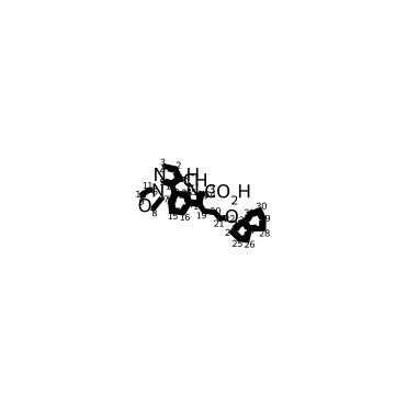 Cc1ccnc(N2CCOCC2)c1-c1cccc2c(CCCOc3cccc4ccccc34)c(C(=O)O)[nH]c12